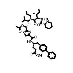 CCCN(C(=O)C(NC(=O)[C@H]1CCCCN1C)[C@@H](C)CC)[C@H](C[C@@H](OC(C)=O)c1nc(C(=O)N[C@H](CCC(=O)O)Cc2ccc(-c3ccccc3)cc2)cs1)C(C)C